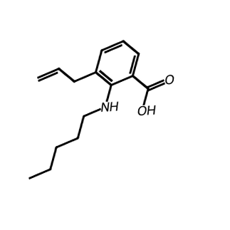 C=CCc1cccc(C(=O)O)c1NCCCCC